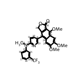 COc1cc2c(OC)c3c(c(-c4ccc(N(C)c5cccc(C(F)(F)F)c5)nc4)c2cc1OC)COC3=O